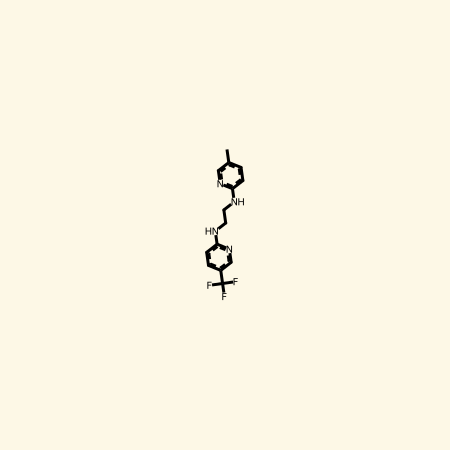 Cc1ccc(NCCNc2ccc(C(F)(F)F)cn2)nc1